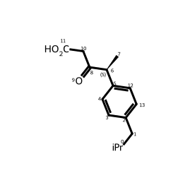 CC(C)Cc1ccc([C@H](C)C(=O)CC(=O)O)cc1